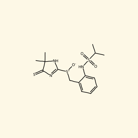 CC(C)S(=O)(=O)Nc1ccccc1C[S+]([O-])C1=NC(=S)C(C)(C)N1